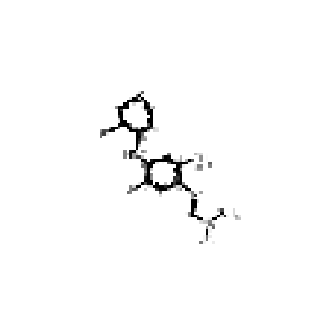 CCN(C)C=Nc1cc(F)c(Nc2ccccc2F)cc1C